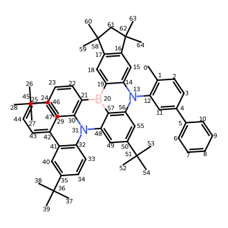 Cc1ccc(-c2ccccc2)cc1N1c2cc3c(cc2B2c4ccc(C(C)(C)C)cc4N(c4ccc(C(C)(C)C)cc4-c4ccccc4)c4cc(C(C)(C)C)cc1c42)C(C)(C)CC3(C)C